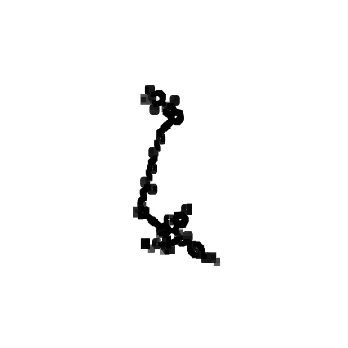 Cc1c(C#Cc2cnn(CCCC(=O)OCCOCCOCCOCC#Cc3cccc4c3CN(C3CCC(=O)NC3=O)C4=O)c2)sc2c1C(c1ccc(Cl)cc1)=N[C@@H](CC(=O)N1CCN(C)CC1)c1nnc(C)n1-2